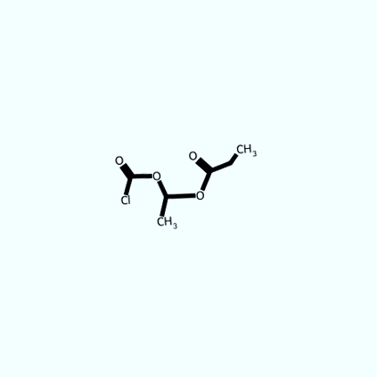 CCC(=O)OC(C)OC(=O)Cl